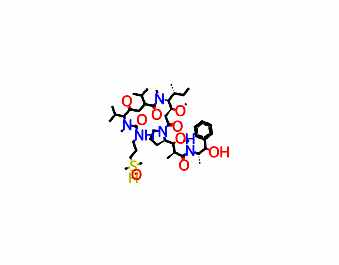 CC[C@@H](C)[C@H]([C@H](CC(=O)N1CCC[C@@H]1[C@@H](OC)[C@H](C)C(=O)N[C@@H](C)[C@H](O)c1ccccc1)OC)N(C)C(=O)C(CC(=O)C(C(C)C)N(C)C(=O)NCCC[SH](C)(C)=O)C(C)C